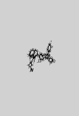 N#Cc1cccc(-c2cc(-c3ccc(C4N=C(c5ccccc5)N=C(c5ccccc5)N4)cc3)cc3ccccc23)c1